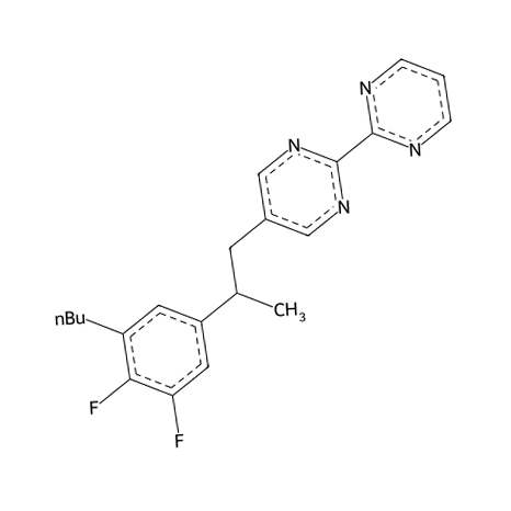 CCCCc1cc(C(C)Cc2cnc(-c3ncccn3)nc2)cc(F)c1F